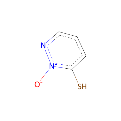 [O-][n+]1ncccc1S